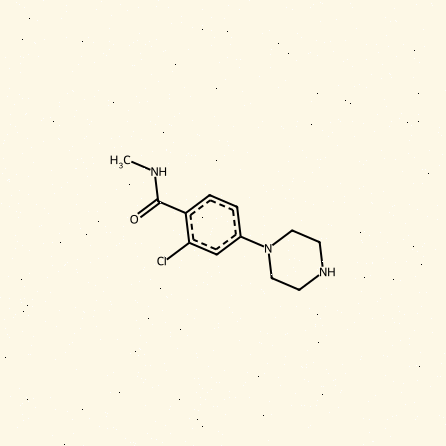 CNC(=O)c1ccc(N2CCNCC2)cc1Cl